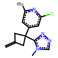 C=C1CC(c2cc(Cl)nc(C(C)(C)C)c2)(c2nncn2C)C1